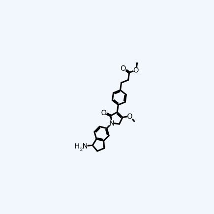 COC(=O)CCc1ccc(C2=C(OC)CN(c3ccc4c(c3)CCC4N)C2=O)cc1